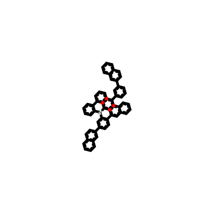 c1ccc(-c2ccccc2N(c2ccc(-c3cccc(-c4ccc5ccccc5c4)c3)cc2)c2cc(-c3ccc4ccccc4c3)ccc2-c2ccc3ccccc3c2)cc1